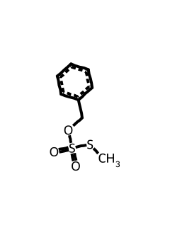 CSS(=O)(=O)OCc1ccccc1